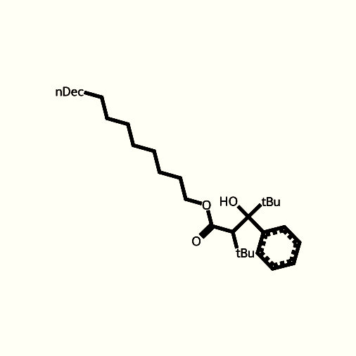 CCCCCCCCCCCCCCCCCCOC(=O)C(C(C)(C)C)C(O)(c1ccccc1)C(C)(C)C